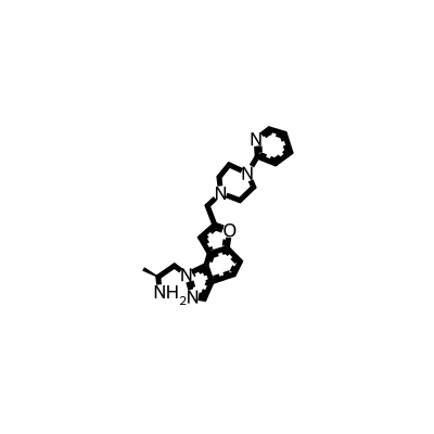 C[C@H](N)Cn1ncc2ccc3oc(CN4CCN(c5ccccn5)CC4)cc3c21